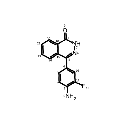 Nc1ccc(-c2n[nH]c(=O)c3ccccc23)cc1F